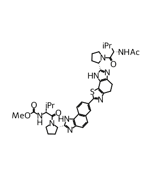 COC(=O)N[C@H](C(=O)N1CCC[C@H]1c1nc2ccc3cc(-c4nc5c(s4)-c4[nH]c([C@@H]6CCCN6C(=O)[C@@H](NC(C)=O)C(C)C)nc4CC5)ccc3c2[nH]1)C(C)C